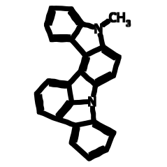 Cn1c2ccccc2c2c3c4cccc5c6ccccc6n(c3ccc21)c54